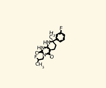 CC(F)Cn1c(=O)[nH]c2c(c1=O)CC[C@](C)(c1cccc(F)c1)N2